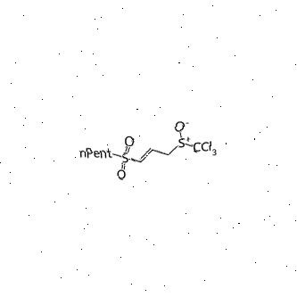 CCCCCS(=O)(=O)C=CC[S+]([O-])C(Cl)(Cl)Cl